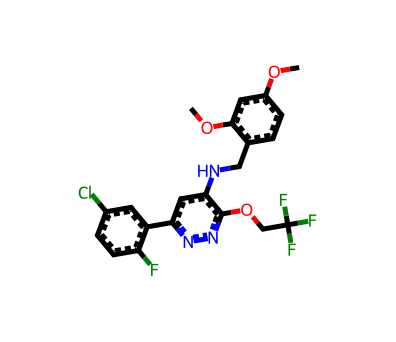 COc1ccc(CNc2cc(-c3cc(Cl)ccc3F)nnc2OCC(F)(F)F)c(OC)c1